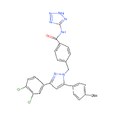 COc1ccc(-c2cc(-c3ccc(Cl)c(Cl)c3)nn2Cc2ccc(C(=O)Nc3nn[nH]n3)cc2)cc1